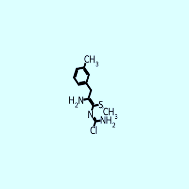 CSC(/N=C(\N)Cl)=C(/N)Cc1cccc(C)c1